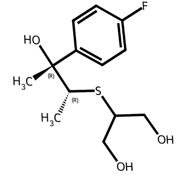 C[C@@H](SC(CO)CO)[C@](C)(O)c1ccc(F)cc1